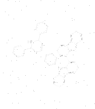 c1ccc(C2=NC(c3ccc(-n4c5ccccc5c5cccc(-c6cccc7c6sc6ccccc67)c54)cc3)=NC(c3ccccc3)N2)cc1